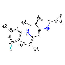 CC[C@@H](C)/C(=C\C(Nc1cc(C)cc(F)c1)=C(C)C)NCC1CC1